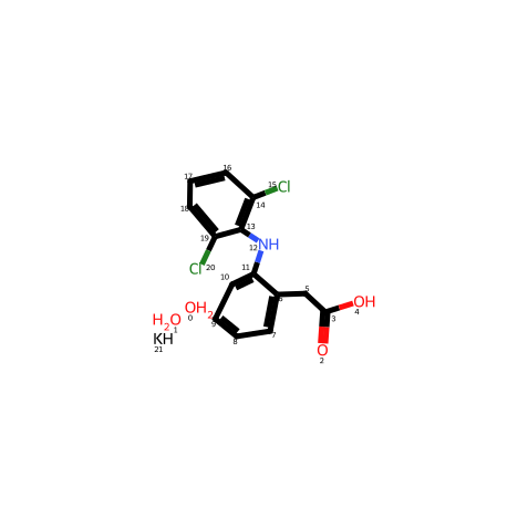 O.O.O=C(O)Cc1ccccc1Nc1c(Cl)cccc1Cl.[KH]